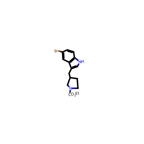 CCOC(=O)N1CCC(Cc2c[nH]c3ccc(Br)cc23)C1